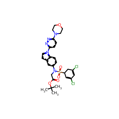 CC(C)(C)OC(=O)CN(c1ccc2c(ccn2-c2ccc(N3CCOCC3)nn2)c1)S(=O)(=O)C1C=C(Cl)C=C(Cl)C1